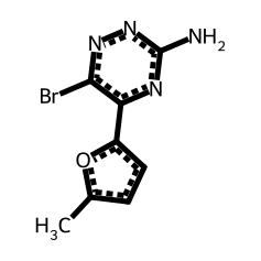 Cc1ccc(-c2nc(N)nnc2Br)o1